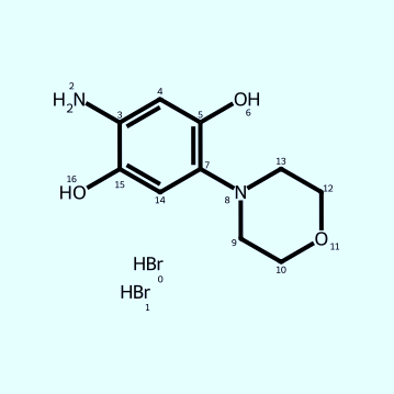 Br.Br.Nc1cc(O)c(N2CCOCC2)cc1O